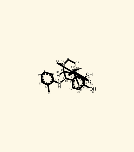 COC1=CC2[C@@H]3[C@H](Nc4ccccc4C)c4ccc(O)c(O)c4[C@]2(CCN3C)CC1=O